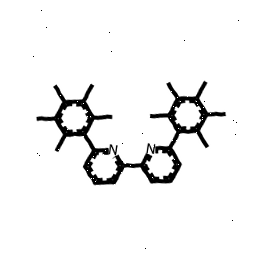 Cc1c(C)c(C)c(-c2cccc(-c3cccc(-c4c(C)c(C)c(C)c(C)c4C)n3)n2)c(C)c1C